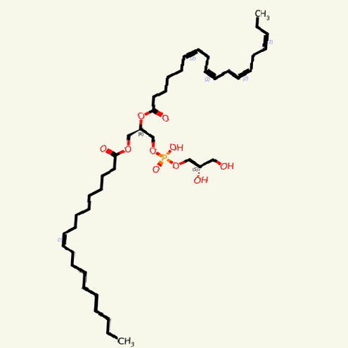 CC/C=C\C/C=C\C/C=C\C/C=C\CCCCC(=O)O[C@H](COC(=O)CCCCCCC/C=C\CCCCCCCCC)COP(=O)(O)OC[C@@H](O)CO